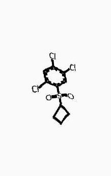 O=S(=O)(c1cc(Cl)c(Cl)cc1Cl)C1CCC1